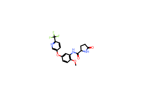 COc1ccc(Oc2ccc(C(F)(F)F)nc2)cc1NC(=O)C1CCC(=O)N1